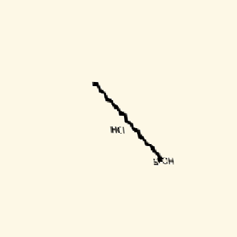 CCCCCCCCCCCCCCCCCCCCC(O)=S.Cl